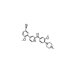 COc1ccc(C#N)cc1-c1ccnc(Nc2ccc(N3CCN(C)CC3)c(OC)c2)c1